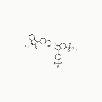 Cn1c(=O)n(C2CCN(C[C@@H](O)Cn3nc(-c4ccc(C(F)(F)F)cc4)c4c3CCN(S(C)(=O)=O)C4)CC2)c2ccccc21